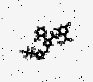 Cc1cc(Cl)cc(C(N)=O)c1NC(=O)c1cc(Cn2nnc(C(F)(F)C(F)(F)F)n2)nn1-c1ncccc1Br